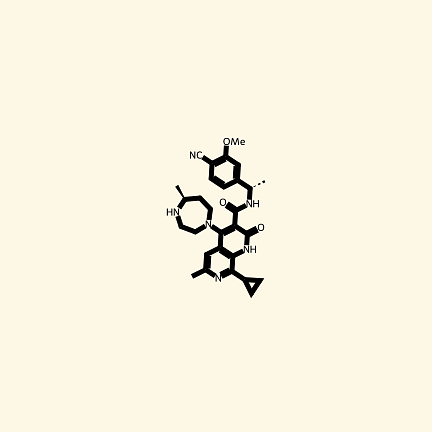 COc1cc([C@H](C)NC(=O)c2c(N3CCN[C@@H](C)CC3)c3cc(C)nc(C4CC4)c3[nH]c2=O)ccc1C#N